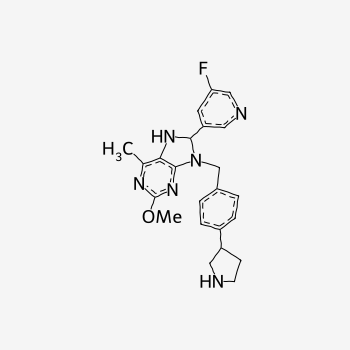 COc1nc(C)c2c(n1)N(Cc1ccc(C3CCNC3)cc1)C(c1cncc(F)c1)N2